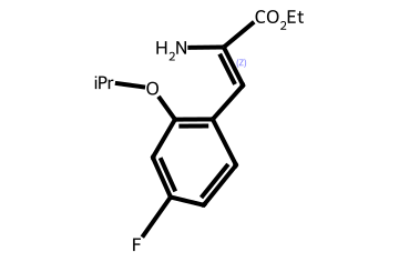 CCOC(=O)/C(N)=C/c1ccc(F)cc1OC(C)C